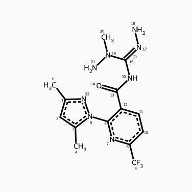 Cc1cc(C)n(-c2nc(C(F)(F)F)ccc2C(=O)N/C(=N/N)N(C)N)n1